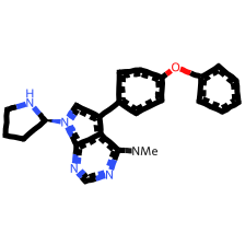 CNc1ncnc2c1c(-c1ccc(Oc3ccccc3)cc1)cn2[C@H]1CCCN1